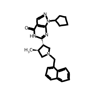 C[C@@H]1CN(Cc2cccc3ccccc23)C[C@H]1c1nc2c(cnn2C2CCCC2)c(=O)[nH]1